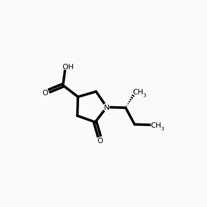 CC[C@@H](C)N1CC(C(=O)O)CC1=O